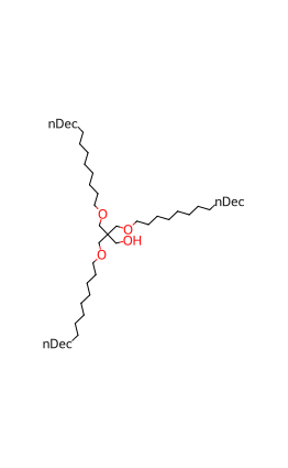 CCCCCCCCCCCCCCCCCCOCC(CO)(COCCCCCCCCCCCCCCCCCC)COCCCCCCCCCCCCCCCCCC